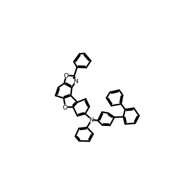 c1ccc(-c2nc3c(ccc4oc5cc(N(c6ccccc6)c6ccc(-c7ccccc7-c7ccccc7)cc6)ccc5c43)o2)cc1